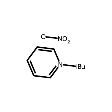 CCC(C)[n+]1ccccc1.O=[N+]([O-])[O-]